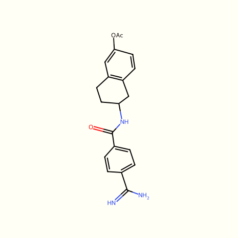 CC(=O)Oc1ccc2c(c1)CCC(NC(=O)c1ccc(C(=N)N)cc1)C2